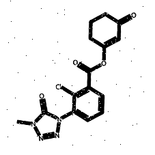 Cn1nnn(-c2cccc(C(=O)OC3=CC(=O)CCC3)c2Cl)c1=O